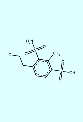 Cc1c(S(=O)(=O)O)ccc(CC[O])c1S(N)(=O)=O